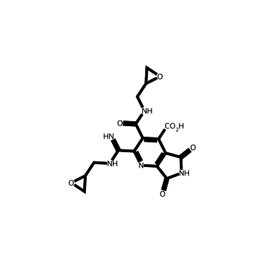 N=C(NCC1CO1)c1nc2c(c(C(=O)O)c1C(=O)NCC1CO1)C(=O)NC2=O